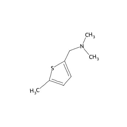 Cc1ccc(CN(C)C)s1